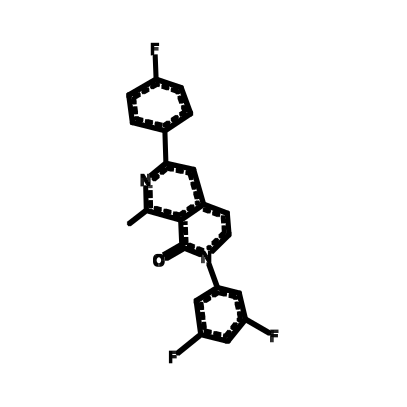 Cc1nc(-c2ccc(F)cc2)cc2ccn(-c3cc(F)cc(F)c3)c(=O)c12